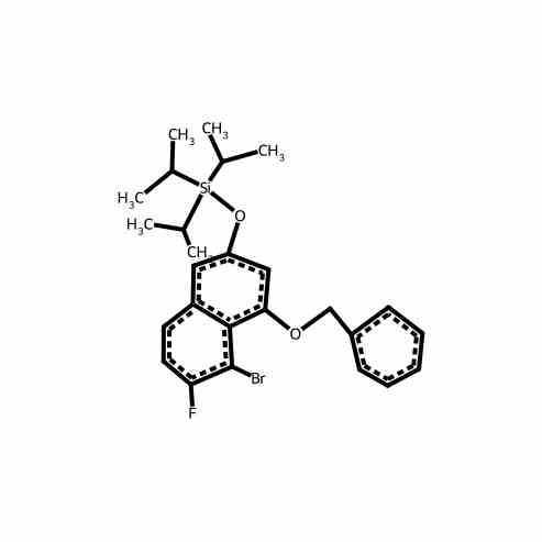 CC(C)[Si](Oc1cc(OCc2ccccc2)c2c(Br)c(F)ccc2c1)(C(C)C)C(C)C